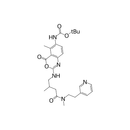 Cc1c(NC(=O)OC(C)(C)C)ccc2nc(NCC(C)CC(=O)N(C)CCc3cccnc3)oc(=O)c12